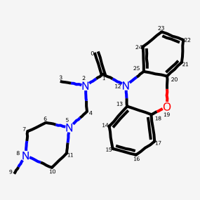 C=C(N(C)CN1CCN(C)CC1)N1c2ccccc2Oc2ccccc21